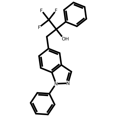 OC(Cc1ccc2c(cnn2-c2ccccc2)c1)(c1ccccc1)C(F)(F)F